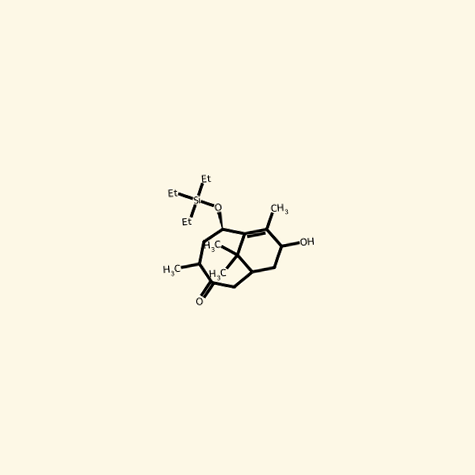 CC[Si](CC)(CC)O[C@@H]1CC(C)C(=O)CC2CC(O)C(C)=C1C2(C)C